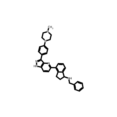 CN1CCN(c2ccc(-c3n[nH]c4ccc(-c5cccc6c5CCC6NCc5ccccc5)nc34)cc2)CC1